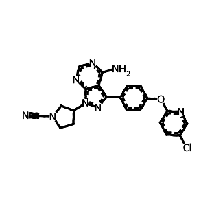 N#CN1CCC(n2nc(-c3ccc(Oc4ccc(Cl)cn4)cc3)c3c(N)ncnc32)C1